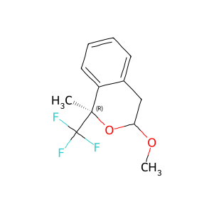 COC1Cc2ccccc2[C@](C)(C(F)(F)F)O1